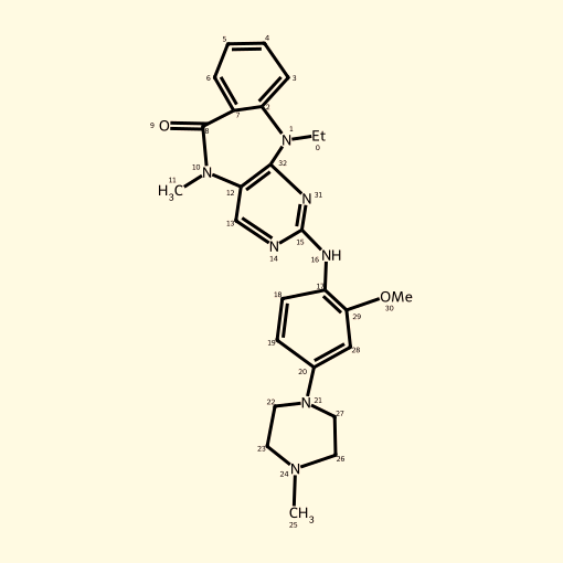 CCN1c2ccccc2C(=O)N(C)c2cnc(Nc3ccc(N4CCN(C)CC4)cc3OC)nc21